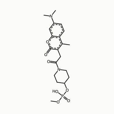 COP(=O)(O)OC1CCN(C(=O)Cc2c(C)c3ccc(N(C)C)cc3oc2=O)CC1